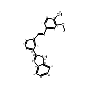 COc1cc(C=Cc2cccc(-c3nc4ccccc4[nH]3)c2)ccc1O